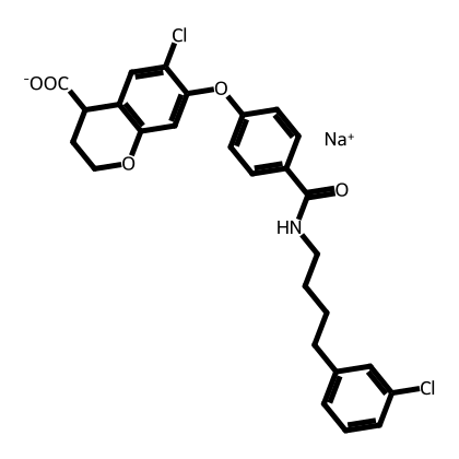 O=C(NCCCCc1cccc(Cl)c1)c1ccc(Oc2cc3c(cc2Cl)C(C(=O)[O-])CCO3)cc1.[Na+]